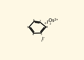 [I-].[I-].[Os+2].c1ccccc1